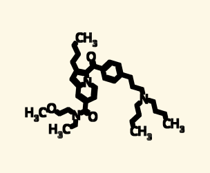 CCCCc1cc2cc(C(=O)N(CC)CCOC)ccn2c1C(=O)c1ccc(CCCN(CCCC)CCCC)cc1